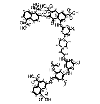 COc1cc(/N=N/c2cc(S(=O)(=O)O)c3cccc(S(=O)(=O)O)c3c2)c(NC(C)=O)cc1Nc1nc(Cl)nc(NCCN2CCN(c3nc(Cl)nc(Nc4cc(S(=O)(=O)O)cc5c4C(=O)/C(=N/Nc4ccc6c(S(=O)(=O)O)cccc6c4S(=O)(=O)O)C(S(=O)(=O)O)=C5)n3)CC2)n1